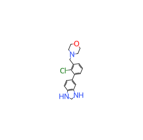 Clc1c(CN2CCOCC2)cccc1-c1ccc2c(c1)NCN2